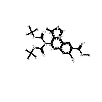 COC(=O)c1cc2c(cc1Cl)nc(N(C(=O)OC(C)(C)C)C(=O)OC(C)(C)C)c1c(C)ncn12